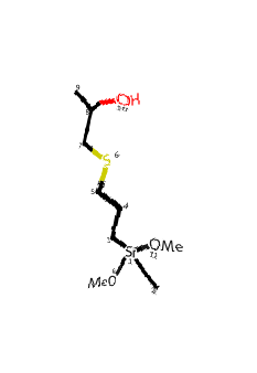 CO[Si](C)(CCCSCC(C)O)OC